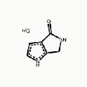 Cl.O=C1NCc2[nH]ccc21